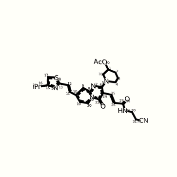 CC(=O)OC1CCCN(c2nc3cc(C=Cc4nc(C(C)C)cs4)ccn3c(=O)c2C=CC(=O)NCCC#N)C1